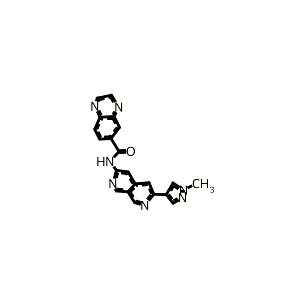 Cn1cc(-c2cc3cc(NC(=O)c4ccc5nccnc5c4)ncc3cn2)cn1